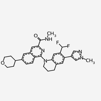 CNC(=O)c1cc2cc(C3CCOCC3)ccc2c(N2CCCc3cc(-c4cnn(C)c4)c(C(F)F)cc32)n1